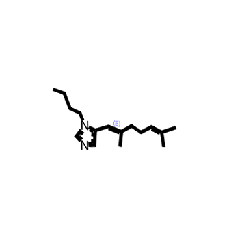 CCCCn1cncc1/C=C(\C)CCC=C(C)C